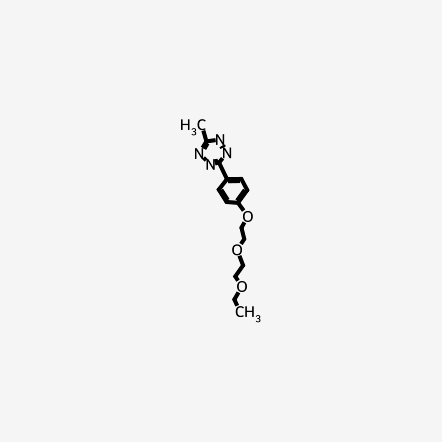 CCOCCOCCOc1ccc(-c2nnc(C)nn2)cc1